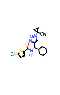 N#CC1(n2cc([C@@H](NC(=O)c3ccc(Cl)s3)C3CCCCC3)nn2)CC1